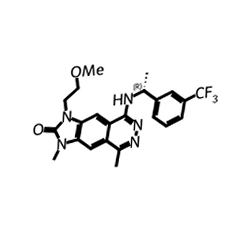 COCCn1c(=O)n(C)c2cc3c(C)nnc(N[C@H](C)c4cccc(C(F)(F)F)c4)c3cc21